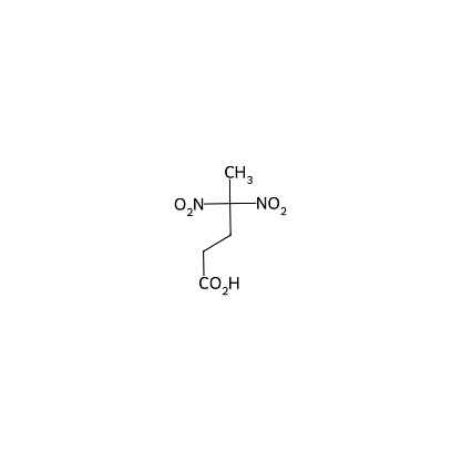 CC(CCC(=O)O)([N+](=O)[O-])[N+](=O)[O-]